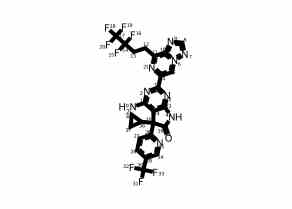 Nc1nc(-c2cn3ncnc3c(CCC(F)(F)C(F)(F)F)n2)nc2c1C(c1ccc(C(F)(F)F)cn1)(C1CC1)C(=O)N2